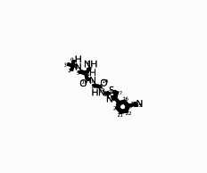 CC(C)(C)N/C=C(\C=N)C(=O)NCC(=O)Nc1nc(-c2cccc(C#N)c2)cs1